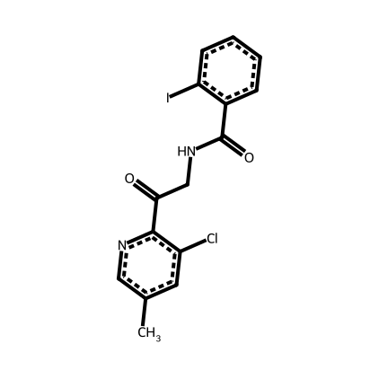 Cc1cnc(C(=O)CNC(=O)c2ccccc2I)c(Cl)c1